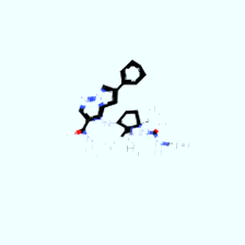 CC(C)(C)NC(=O)N[C@@]1(C)CC[C@@H](Nc2c(C(N)=O)cnn3cc(-c4ccccc4)cc23)C1(C)C